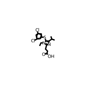 CCn1c(CCC(=O)O)nc(C(C)C)c1Sc1cc(Cl)cc(Cl)c1